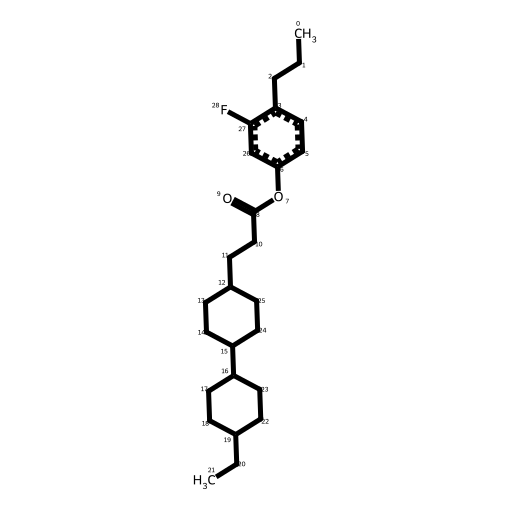 CCCc1ccc(OC(=O)CCC2CCC(C3CCC(CC)CC3)CC2)cc1F